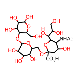 CC(=O)NC1C(O)CC(OCC2OC(OC3C(CO)OC(O)C(O)C3O)C(O)C(O)C2O)(C(=O)O)OC1C(O)C(O)CO